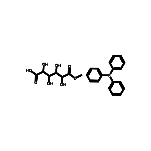 COC(=O)C(O)C(O)C(O)C(O)C(=O)O.c1ccc(P(c2ccccc2)c2ccccc2)cc1